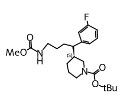 COC(=O)NCCCC(c1cccc(F)c1)[C@@H]1CCCN(C(=O)OC(C)(C)C)C1